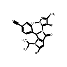 Cc1nn(C)c(N2C(=O)c3cc(Br)n(C(C)C)c3C2c2ccc(C#N)cc2)c1F